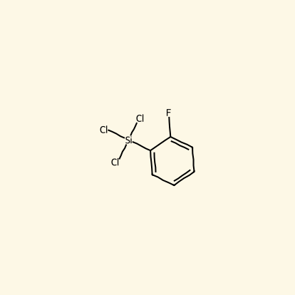 Fc1ccccc1[Si](Cl)(Cl)Cl